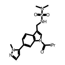 CC(C)C(=O)n1cc(CNS(=O)(=O)N(C)C)c2ccc(-c3ccnn3C)cc21